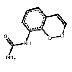 NC(=O)Nc1cccc2c1OOC=C2